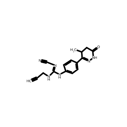 C#CCNC(=NC#N)Nc1ccc(C2=NNC(=O)CC2C)cc1